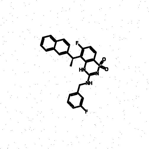 C[C@@H](c1ccc2ccccc2c1)c1c(F)ccc2c1NC(NCc1cccc(F)c1)=NS2(=O)=O